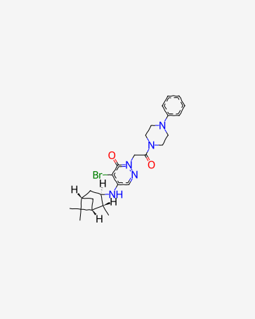 C[C@@H]1[C@H]2C[C@@H](C[C@H]1Nc1cnn(CC(=O)N3CCN(c4ccccc4)CC3)c(=O)c1Br)C2(C)C